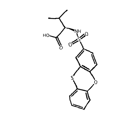 CC(C)[C@@H](NS(=O)(=O)c1ccc2c(c1)Sc1ccccc1O2)C(=O)O